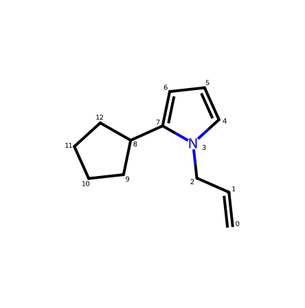 C=CCn1cccc1C1CCCC1